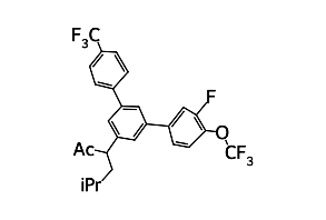 CC(=O)C(CC(C)C)c1cc(-c2ccc(C(F)(F)F)cc2)cc(-c2ccc(OC(F)(F)F)c(F)c2)c1